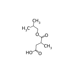 CC(C)COC(=O)C(C)CC(=O)O